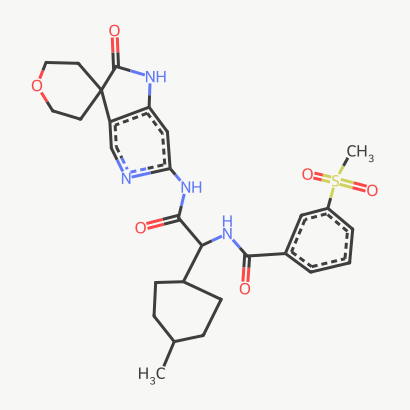 CC1CCC(C(NC(=O)c2cccc(S(C)(=O)=O)c2)C(=O)Nc2cc3c(cn2)C2(CCOCC2)C(=O)N3)CC1